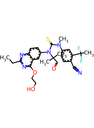 CCc1nc(OCCO)c2cc(N(C(=S)N(C)c3ccc(C#N)c(C(C)(F)F)c3)C(C)(C)C=O)ccc2n1